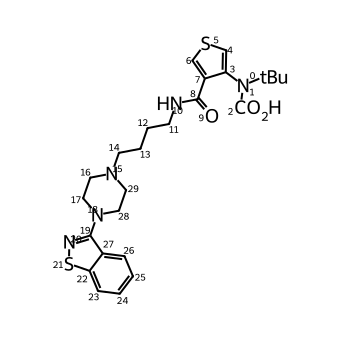 CC(C)(C)N(C(=O)O)c1cscc1C(=O)NCCCCN1CCN(c2nsc3ccccc23)CC1